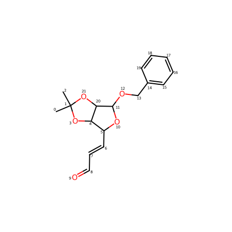 CC1(C)OC2C(C=CC=O)OC(OCc3ccccc3)C2O1